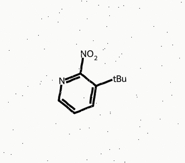 CC(C)(C)c1cccnc1[N+](=O)[O-]